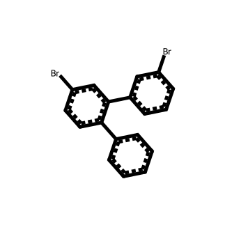 Brc1cccc(-c2cc(Br)ccc2-c2ccccc2)c1